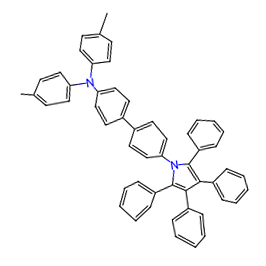 Cc1ccc(N(c2ccc(C)cc2)c2ccc(-c3ccc(-n4c(-c5ccccc5)c(-c5ccccc5)c(-c5ccccc5)c4-c4ccccc4)cc3)cc2)cc1